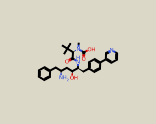 CN(C(=O)O)[C@H](C(=O)N[C@@H](Cc1ccc(-c2cccnc2)cc1)[C@@H](O)C[C@@H](N)Cc1ccccc1)C(C)(C)C